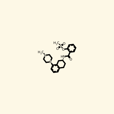 CN1CCN(c2cccc3c2C[C@H](NC(=O)c2ccccc2OS(C)(=O)=O)CC3)CC1